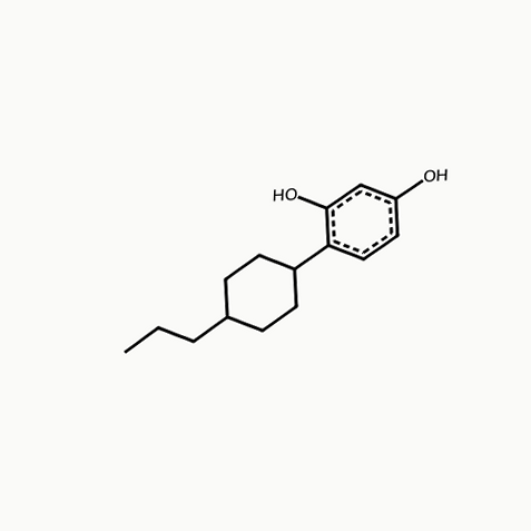 CCCC1CCC(c2ccc(O)cc2O)CC1